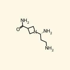 NCC[C@@H](N)N1CC(C(N)=O)C1